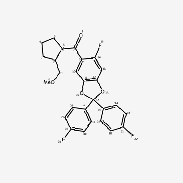 COCC1CCCN1C(=O)c1cc2c(cc1F)OC(c1ccc(F)cc1)(c1ccc(F)cc1)O2